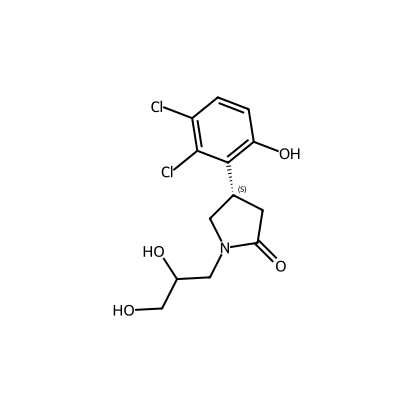 O=C1C[C@@H](c2c(O)ccc(Cl)c2Cl)CN1CC(O)CO